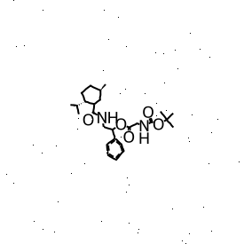 CC(C)[C@@H]1CC[C@@H](C)CC1C(=O)NCC(OC(=O)CNC(=O)OC(C)(C)C)c1ccccc1